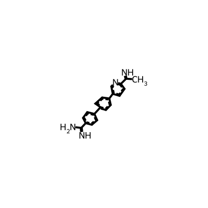 CC(=N)c1ccc(-c2ccc(-c3ccc(C(=N)N)cc3)cc2)cn1